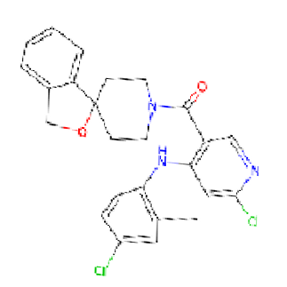 Cc1cc(Cl)ccc1Nc1cc(Cl)ncc1C(=O)N1CCC2(CC1)OCc1ccccc12